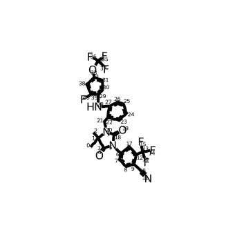 CC1(C)C(=O)N(c2ccc(C#N)c(C(F)(F)F)c2)C(=O)N1Cc1ccccc1Nc1ccc(OC(F)(F)F)cc1F